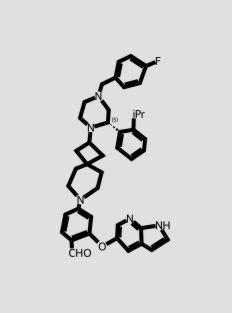 CC(C)c1ccccc1[C@H]1CN(Cc2ccc(F)cc2)CCN1C1CC2(CCN(c3ccc(C=O)c(Oc4cnc5[nH]ccc5c4)c3)CC2)C1